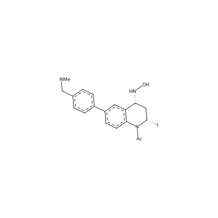 CNCc1ccc(-c2ccc3c(c2)[C@H](NO)C[C@H](I)N3C(C)=O)cc1